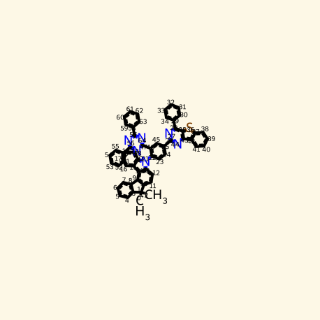 CC1(C)c2ccccc2-c2c1ccc1c2c2ccccc2n1-c1ccc(-c2nc(-c3ccccc3)c3sc4ccccc4c3n2)cc1-c1nc(-c2ccccc2)nc(-c2ccccc2)n1